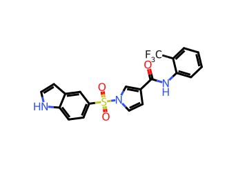 O=C(Nc1ccccc1C(F)(F)F)c1ccn(S(=O)(=O)c2ccc3[nH]ccc3c2)c1